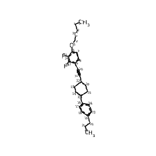 CCCCCOc1ccc(C#CC2CCC(c3ccc(CCC)cc3)CC2)c(F)c1F